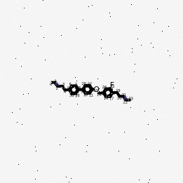 C/C=C/CCc1ccc(-c2ccc(OCc3ccc(CC/C=C/C)c(F)c3)cc2)cc1